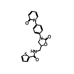 O=C(NCC1CN(c2ccc(-n3ccccc3=O)cc2)C(=O)O1)c1cccs1